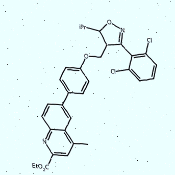 CCOC(=O)c1cc(C)c2cc(-c3ccc(OCC4C(c5c(Cl)cccc5Cl)=NOC4C(C)C)cc3)ccc2n1